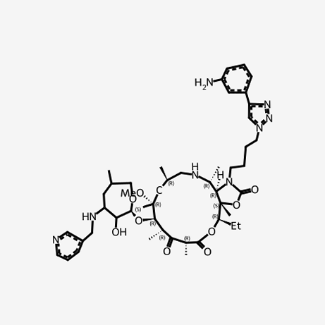 CC[C@H]1OC(=O)[C@H](C)C(=O)[C@H](C)[C@@H](O[C@@H]2OCC(C)CC(NCc3cccnc3)C2O)[C@](C)(OC)C[C@@H](C)CN[C@H](C)[C@H]2N(CCCCn3cc(-c4cccc(N)c4)nn3)C(=O)O[C@]12C